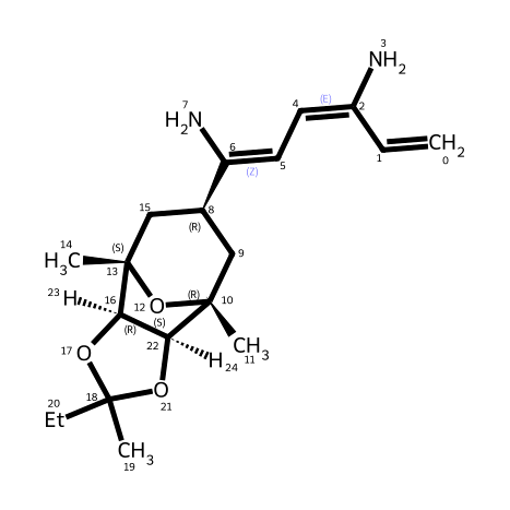 C=C/C(N)=C\C=C(/N)[C@H]1C[C@@]2(C)O[C@@](C)(C1)[C@@H]1OC(C)(CC)O[C@@H]12